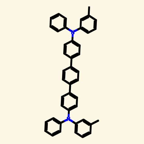 Cc1cccc(N(c2ccccc2)c2ccc(-c3ccc(-c4ccc(N(c5ccccc5)c5cccc(C)c5)cc4)cc3)cc2)c1